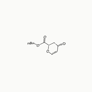 CCCCOC(=O)C1CC(=O)C=CO1